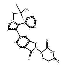 CC(F)(F)Cn1ncc(-c2ccc3c(c2)CN(C2CCC(=O)NC2=O)C3=O)c1-c1ccccc1